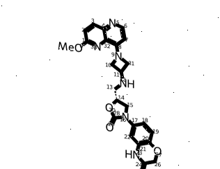 COc1ccc2nccc(N3CC(NC[C@@H]4CN(c5ccc6c(c5)NC(=O)CO6)C(=O)O4)C3)c2n1